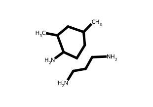 CC1CCC(N)C(C)C1.NCCCN